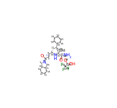 CC(C)(C)[C@H](N[C@H](/C=C/C(=O)N1Cc2ccccc2C1)CCc1ccccc1)C(N)=O.O=C(O)C(F)(F)F